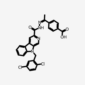 CC(=NNC(=O)c1cc2c3ccccc3n(Cc3cc(Cl)ccc3Cl)c2cn1)c1ccc(C(=O)O)cc1